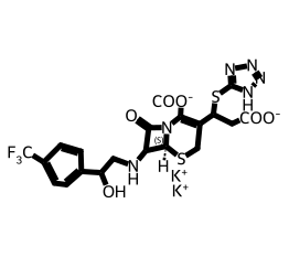 O=C([O-])CC(Sc1nnn[nH]1)C1=C(C(=O)[O-])N2C(=O)C(NCC(O)c3ccc(C(F)(F)F)cc3)[C@@H]2SC1.[K+].[K+]